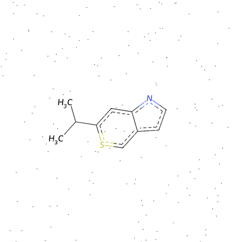 CC(C)c1cc2nccc-2cs1